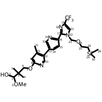 COC(O)C(C)(C)COc1cc(C)c(-c2ccc(-c3nc(C(F)(F)F)cn3COCC[Si](C)(C)C)nc2)cn1